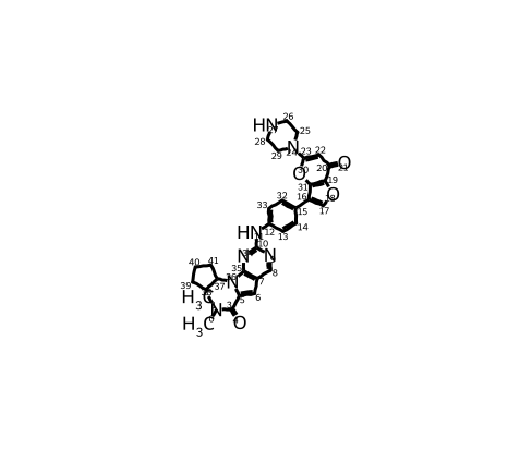 CN(C)C(=O)c1cc2cnc(Nc3ccc(-c4coc5c(=O)cc(N6CCNCC6)oc45)cc3)nc2n1C1CCCC1